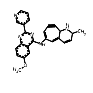 COc1ccc2nc(-c3cccnc3)nc(NC3=CC#CC4NC(C)C=CC4=C3)c2c1